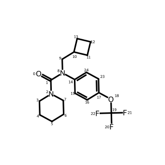 O=C(N1CCCCC1)N(CC1CCC1)c1ccc(OC(F)(F)F)cc1